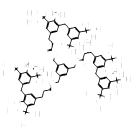 CC(C)(C)c1cc(CCC(=O)OCc2cc(COC(=O)CCc3cc(Cc4cc(C(C)(C)C)c(O)c(C(C)(C)C)c4)c(O)c(C(C)(C)C)c3)cc(COC(=O)CCc3cc(Cc4cc(C(C)(C)C)c(O)c(C(C)(C)C)c4)c(O)c(C(C)(C)C)c3)c2)cc(Cc2cc(C(C)(C)C)c(O)c(C(C)(C)C)c2)c1O